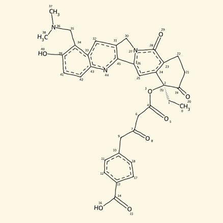 CC[C@@]1(OC(=O)CC(=O)Cc2ccc(C(=O)O)cc2)C(=O)CCc2c1cc1n(c2=O)Cc2cc3c(CN(C)C)c(O)ccc3nc2-1